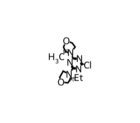 CC[C@@H]1COCCN1c1nc(Cl)nc(N2CCOC[C@H]2C)n1